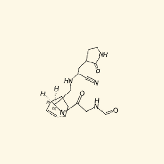 N#CC(CC1CCNC1=O)NC[C@@H]1[C@H]2C=CC(CC2)N1C(=O)CNC=O